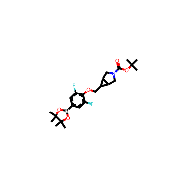 CC(C)(C)OC(=O)N1CC2C(COc3c(F)cc(B4OC(C)(C)C(C)(C)O4)cc3F)C2C1